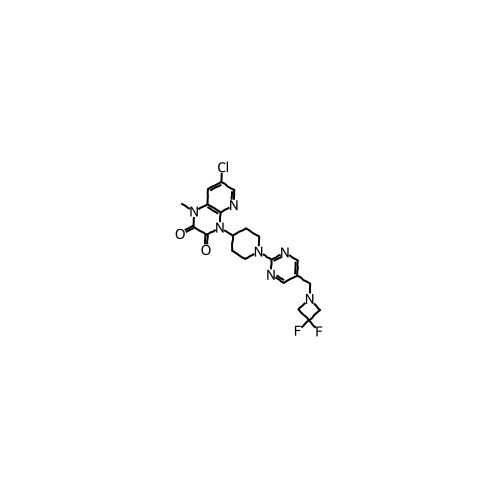 Cn1c(=O)c(=O)n(C2CCN(c3ncc(CN4CC(F)(F)C4)cn3)CC2)c2ncc(Cl)cc21